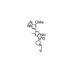 COc1cc(-c2cc3[nH]c(=O)n(C4CCCN(CC5CC5)C4)c3cc2C)cn2ncnc12